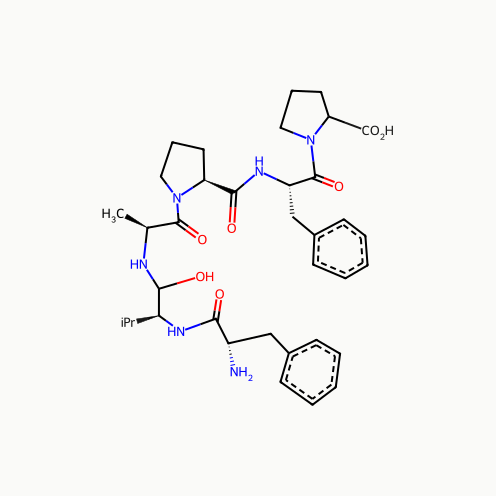 CC(C)[C@H](NC(=O)[C@@H](N)Cc1ccccc1)C(O)N[C@@H](C)C(=O)N1CCC[C@H]1C(=O)N[C@@H](Cc1ccccc1)C(=O)N1CCCC1C(=O)O